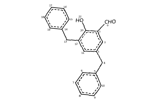 O=Cc1cc(Cc2ccccc2)cc(Cc2ccccc2)c1O